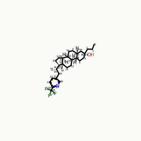 CCC[C@@]1(O)CC[C@H]2[C@H](CC[C@@H]3[C@@H]2CC[C@]2(C)[C@@H]([C@@H](C)Cc4ccc(C(F)(F)F)nc4)CC[C@@H]32)C1